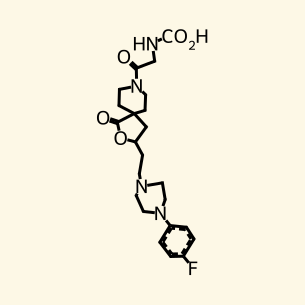 O=C(O)NCC(=O)N1CCC2(CC1)CC(CCN1CCN(c3ccc(F)cc3)CC1)OC2=O